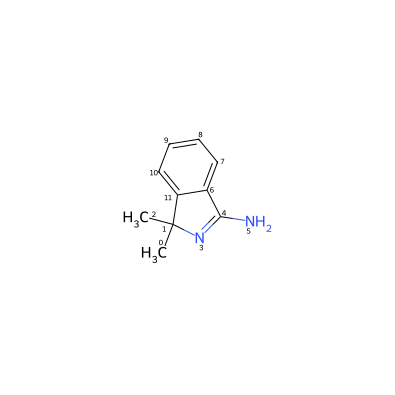 CC1(C)N=C(N)c2ccccc21